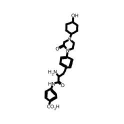 NC(Cc1ccc(N2CCN(C3CCC(O)CC3)CC2=O)cc1)C(=O)Nc1ccc(C(=O)O)cc1